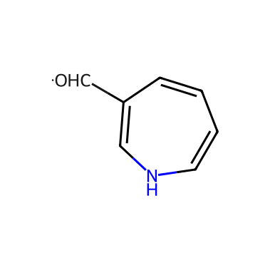 O=[C]C1=CNC=CC=C1